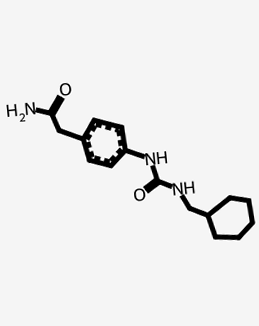 NC(=O)Cc1ccc(NC(=O)NCC2CCCCC2)cc1